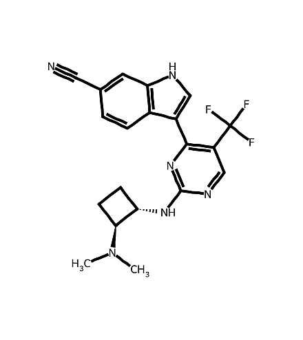 CN(C)[C@H]1CC[C@@H]1Nc1ncc(C(F)(F)F)c(-c2c[nH]c3cc(C#N)ccc23)n1